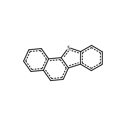 c1ccc2c(c1)ccc1c3ccccc3sc21